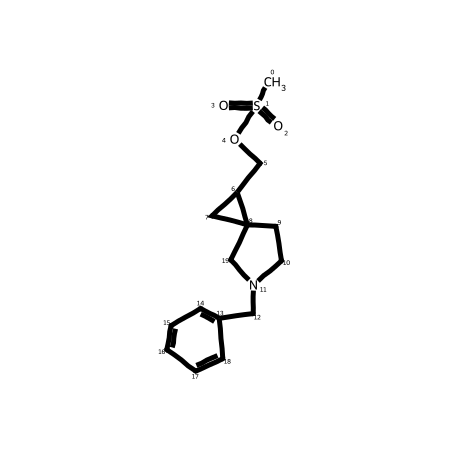 CS(=O)(=O)OCC1CC12CCN(Cc1ccccc1)C2